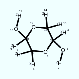 [2H]OC1([2H])OC([2H])([2H])C([2H])(O[2H])OC1([2H])[2H]